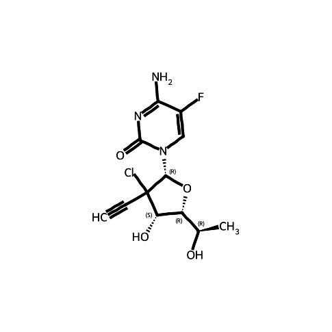 C#CC1(Cl)[C@@H](O)[C@@H]([C@@H](C)O)O[C@H]1n1cc(F)c(N)nc1=O